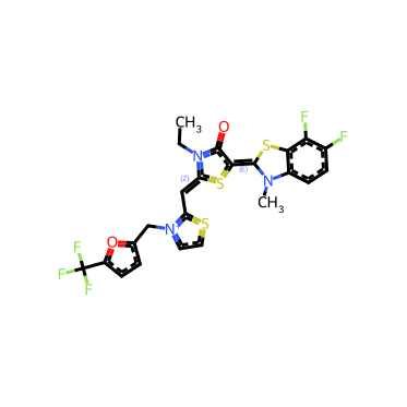 CCn1c(=O)/c(=C2\Sc3c(ccc(F)c3F)N2C)s/c1=C\c1scc[n+]1Cc1ccc(C(F)(F)F)o1